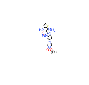 CC(C)(C)OC(=O)N1CCN(c2ccc3nc(-c4c(N)c5sccc5[nH]c4=O)[nH]c3c2)CC1